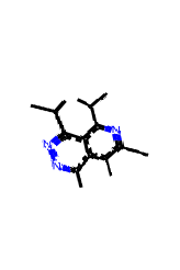 Cc1nc(C(C)C)c2c(C(C)C)nnc(C)c2c1C